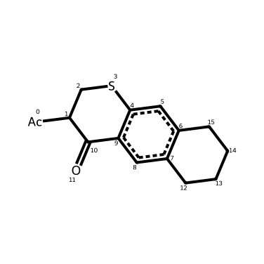 CC(=O)C1CSc2cc3c(cc2C1=O)CCCC3